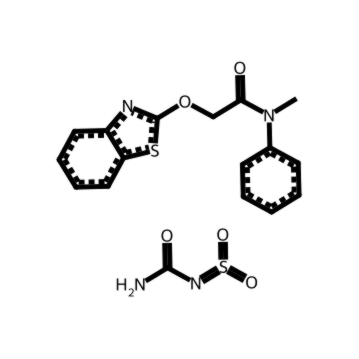 CN(C(=O)COc1nc2ccccc2s1)c1ccccc1.NC(=O)N=S(=O)=O